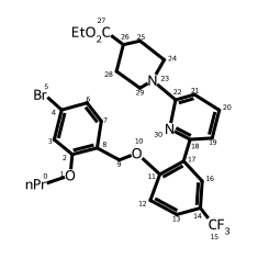 CCCOc1cc(Br)ccc1COc1ccc(C(F)(F)F)cc1-c1cccc(N2CCC(C(=O)OCC)CC2)n1